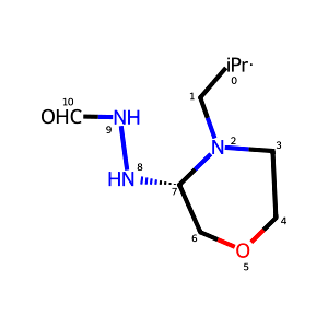 C[C](C)CN1CCOC[C@@H]1NNC=O